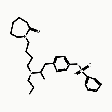 CCCN(CCCCN1CCCCCC1=O)C(C)Cc1ccc(OS(=O)(=O)c2ccccc2)cc1